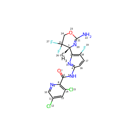 C[C@]1(c2nc(NC(=O)c3ncc(Cl)cc3Cl)ccc2F)N=C(N)OCC1(F)F